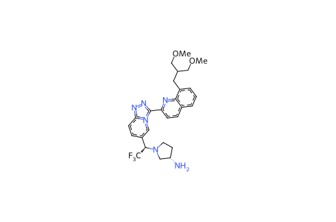 COCC(COC)Cc1cccc2ccc(-c3nnc4ccc([C@@H](N5CC[C@H](N)C5)C(F)(F)F)cn34)nc12